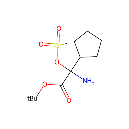 CC(C)(C)OC(=O)C(N)(OS(C)(=O)=O)C1CCCC1